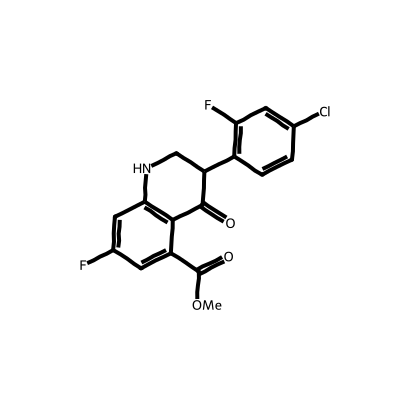 COC(=O)c1cc(F)cc2c1C(=O)C(c1ccc(Cl)cc1F)CN2